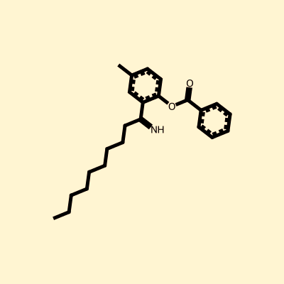 CCCCCCCCCC(=N)c1cc(C)ccc1OC(=O)c1ccccc1